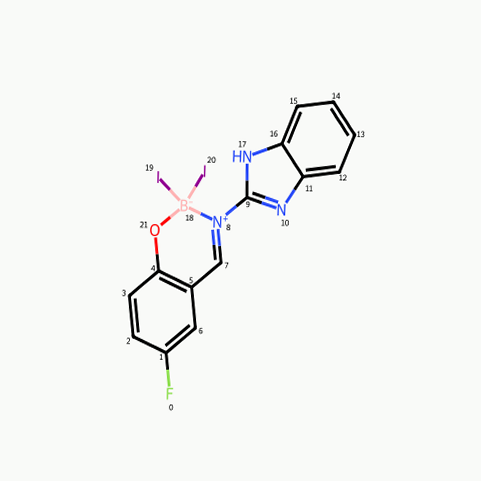 Fc1ccc2c(c1)C=[N+](c1nc3ccccc3[nH]1)[B-](I)(I)O2